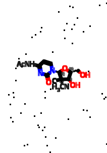 CC(=O)Nc1ccn([C@@H]2O[C@H](CO)[C@@H](O)[C@@]2(C)C#N)c(=O)n1